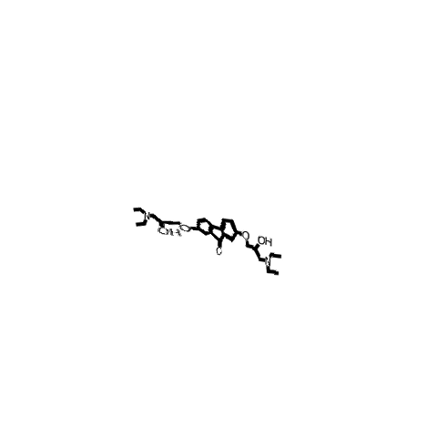 CCN(CC)CC(O)COc1ccc2c(c1)C(=O)c1cc(OCC(O)CN(CC)CC)ccc1-2